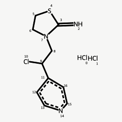 Cl.Cl.N=C1SCCN1CC(Cl)c1ccncc1